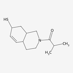 CC(C)C(=O)N1CCC2C=CC(S)CC2C1